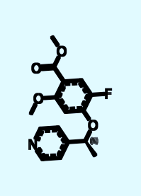 COC(=O)c1cc(F)c(O[C@@H](C)c2ccncc2)cc1OC